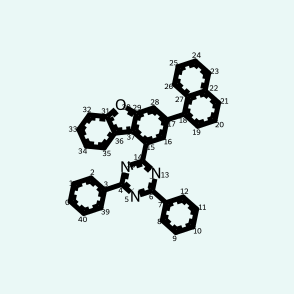 c1ccc(-c2nc(-c3ccccc3)nc(-c3cc(-c4cccc5ccccc45)cc4oc5ccccc5c34)n2)cc1